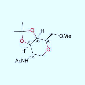 COC[C@H]1OC[C@H](NC(C)=O)[C@H]2OC(C)(C)O[C@H]21